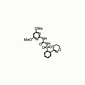 COc1cc(OC)nc(NC(=O)NS(=O)(=O)c2ccccc2C2=NOCCS2)n1